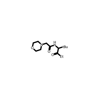 CCC(=O)C(NC(=O)CN1CCOCC1)C(C)(C)C